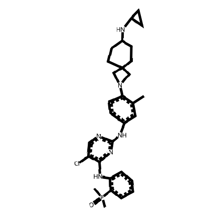 Cc1cc(Nc2ncc(Cl)c(Nc3ccccc3P(C)(C)=O)n2)ccc1N1CC2(CCC(NC3CC3)CC2)C1